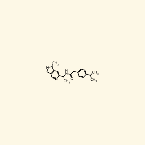 CC(C)c1ccc(CC(=O)N[C@H](C)c2cc3c(cn2)cnn3C)cc1